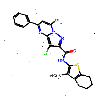 O=C(Nc1sc2c(c1C(=O)O)CCCC2)c1nn2c(C(F)(F)F)cc(-c3ccccc3)nc2c1Cl